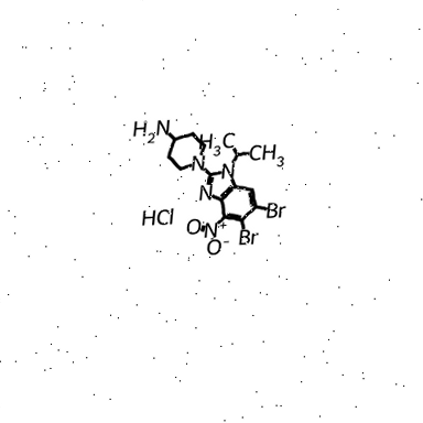 CC(C)n1c(N2CCC(N)CC2)nc2c([N+](=O)[O-])c(Br)c(Br)cc21.Cl